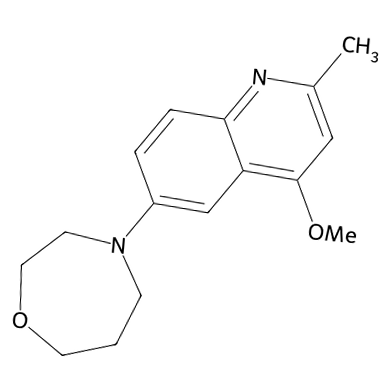 COc1cc(C)nc2ccc(N3CCCOCC3)cc12